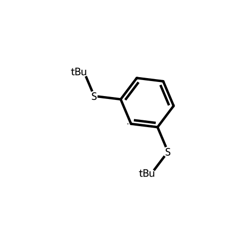 CC(C)(C)Sc1[c]c(SC(C)(C)C)ccc1